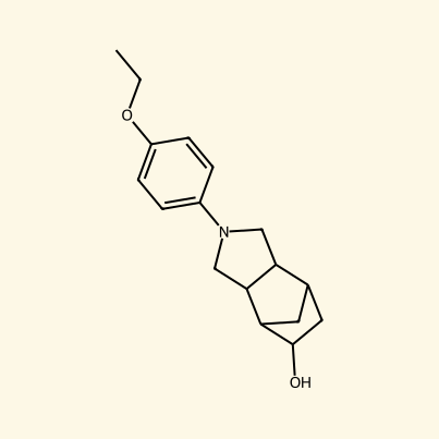 CCOc1ccc(N2CC3C4CC(O)C(C4)C3C2)cc1